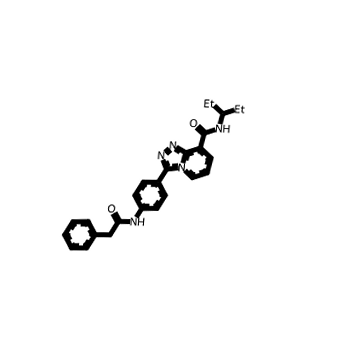 CCC(CC)NC(=O)c1cccn2c(-c3ccc(NC(=O)Cc4ccccc4)cc3)nnc12